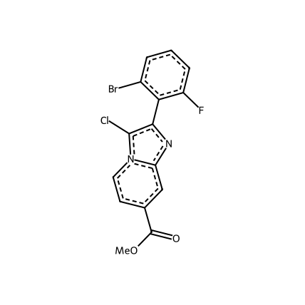 COC(=O)c1ccn2c(Cl)c(-c3c(F)cccc3Br)nc2c1